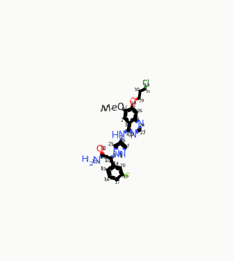 COc1cc2c(Nc3cnn(C(C(N)=O)c4cccc(F)c4)c3)ncnc2cc1OCCCCl